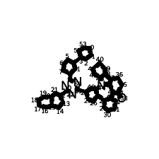 c1ccc(-c2cccc(-c3nc(-c4ccc5ccccc5c4)nc(-c4ccc5c6cccc7oc8ccc9c%10ccccc%10n(c5c4)c9c8c76)n3)c2)cc1